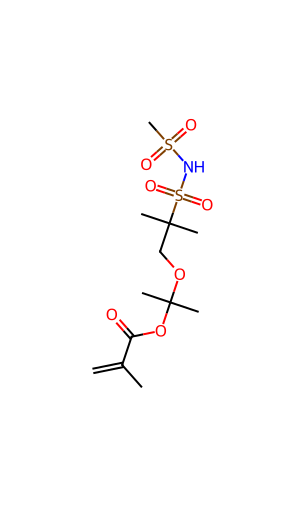 C=C(C)C(=O)OC(C)(C)OCC(C)(C)S(=O)(=O)NS(C)(=O)=O